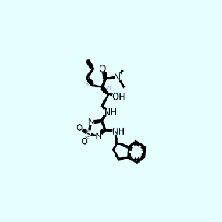 C=C/C=C\C(C(=O)N(C)C)=C(\O)CNC1=NS(=O)(=O)N=C1NC1CCc2ccccc21